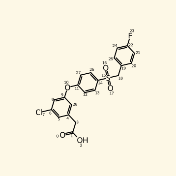 O=C(O)Cc1cc(Cl)cc(Oc2ccc(S(=O)(=O)Cc3ccc(F)cc3)cc2)c1